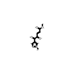 COC(=O)/C=C/C(=O)C(=O)c1cnn(C)c1